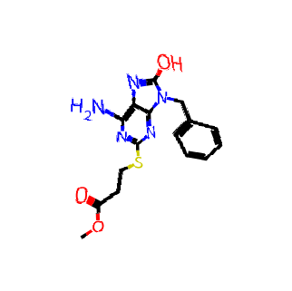 COC(=O)CCSc1nc(N)c2nc(O)n(Cc3ccccc3)c2n1